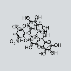 O=[N+]([O-])c1ccc(O[C@H]2[C@H](O[C@H]3[C@H](O)[C@@H](O)[C@H](O[C@H]4[C@H](O)[C@@H](O)C(O)O[C@@H]4CO)O[C@@H]3CO)O[C@H](CO)[C@@H](O)[C@@H]2O)c(Cl)c1